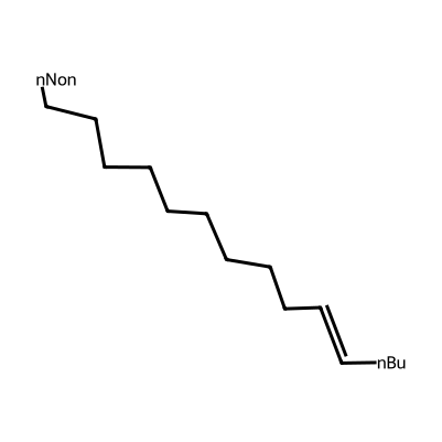 CCCCC=CCCCCCCCCCCCCCCCCCC